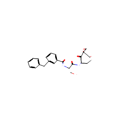 CC(C)CC(NC(=O)[C@H](CO)NC(=O)c1cccc(Cc2ccccc2)c1)C(=O)C1(CO)CO1